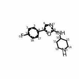 Fc1ccc(-c2cnc(NC3CCNCC3)o2)cc1